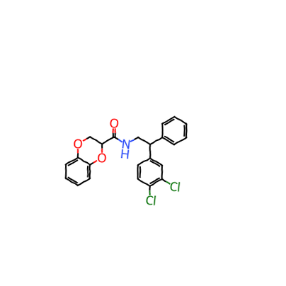 O=C(NCC(c1ccccc1)c1ccc(Cl)c(Cl)c1)C1COc2ccccc2O1